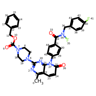 Cc1nc(N2CCN(C(=O)OCc3ccccc3)CC2)nc2c1ccc(=O)n2-c1ccc(C(=O)N(F)Cc2ccc(F)cc2)cc1